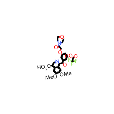 COc1cc2c(C(=O)O)cnc(C(=O)c3cccc(OCC(=O)N4CCOCC4)c3)c2cc1OC.O=C(O)C(F)(F)F